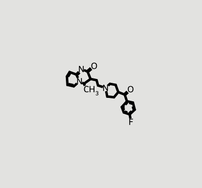 CC1C(CCN2CCC(C(=O)c3ccc(F)cc3)CC2)C(=O)N=C2C=CC=CN21